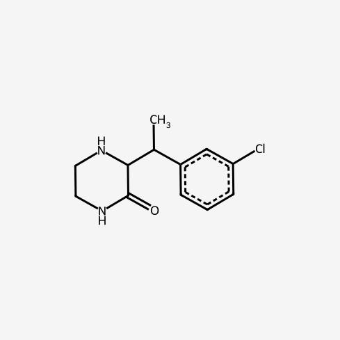 CC(c1cccc(Cl)c1)C1NCCNC1=O